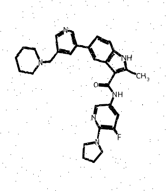 Cc1[nH]c2ccc(-c3cncc(CN4CCCCC4)c3)cc2c1C(=O)Nc1cnc(N2CCCC2)c(F)c1